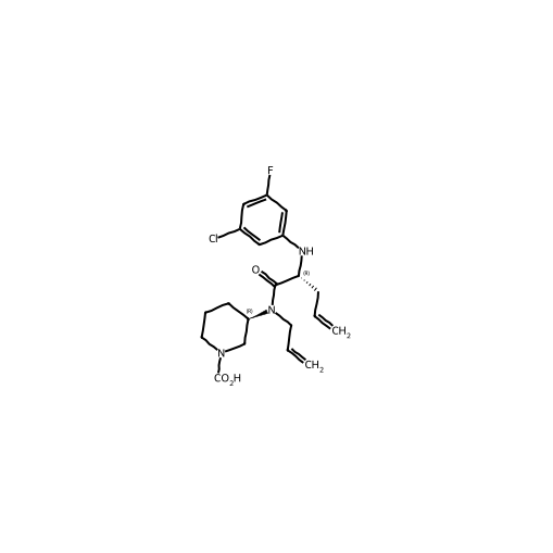 C=CC[C@@H](Nc1cc(F)cc(Cl)c1)C(=O)N(CC=C)[C@@H]1CCCN(C(=O)O)C1